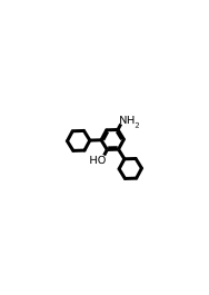 Nc1cc(C2CCCCC2)c(O)c(C2CCCCC2)c1